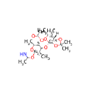 CC(=N)O[C@H]1OC(C)[C@H](OC(C)=O)C(O[C@@H]2OC(C)[C@H](C)[C@@H]3OC(C)(C)OC23)[C@H]1C